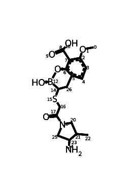 COc1ccc2c(c1C(=O)O)OB(O)C(SCC(=O)N1CC(C)C(N)C1)C2